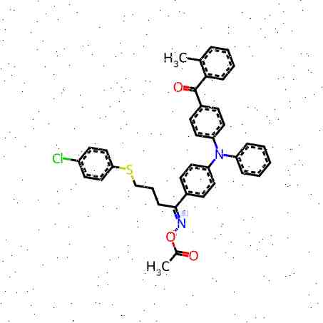 CC(=O)O/N=C(\CCCSc1ccc(Cl)cc1)c1ccc(N(c2ccccc2)c2ccc(C(=O)c3ccccc3C)cc2)cc1